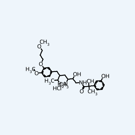 COCCCOc1cc(CC(CC(N)C(O)CNC(=O)C(C)(C)c2cccc(O)c2)C(C)C)ccc1OC.Cl